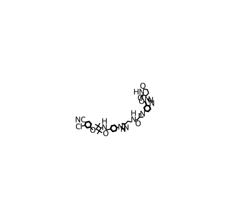 CC1(C)C(NC(=O)c2ccc(-n3cc(CCNC(=O)C4CN(c5ccc6nnn(C7CCC(=O)NC7=O)c(=O)c6c5)C4)nn3)cc2)C(C)(C)C1Oc1ccc(C#N)c(Cl)c1